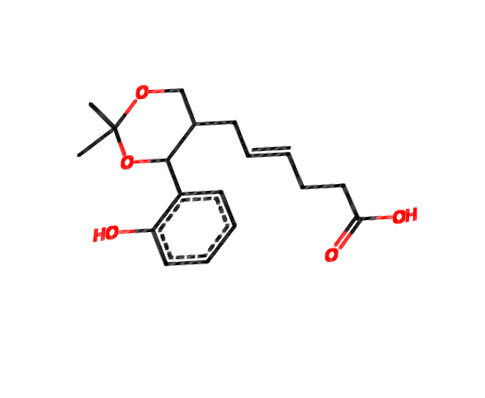 CC1(C)OCC(CC=CCCC(=O)O)C(c2ccccc2O)O1